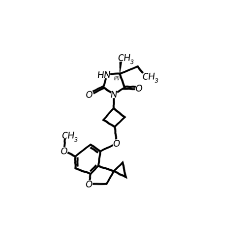 CC[C@@]1(C)NC(=O)N(C2CC(Oc3cc(OC)cc4c3C3(CC3)CO4)C2)C1=O